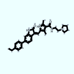 CCc1ccc(-c2ccc3c(c2)NC(=O)C3=Cc2[nH]c(C)c(C(=O)NCCN3CCCC3)c2C)cc1